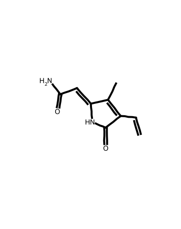 C=CC1=C(C)C(=CC(N)=O)NC1=O